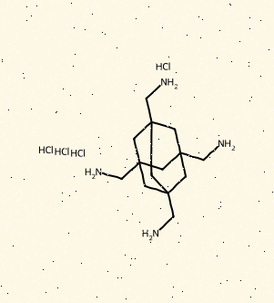 Cl.Cl.Cl.Cl.NCC12CC3(CN)CC(CN)(C1)CC(CN)(C2)C3